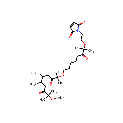 CCCCCCOC(C)(C)C(=O)CC(C(=O)O)C(CC(=O)C(C)(C)OCCCCCC(=O)C(C)(C)OCCN1C(=O)C=CC1=O)C(=O)O